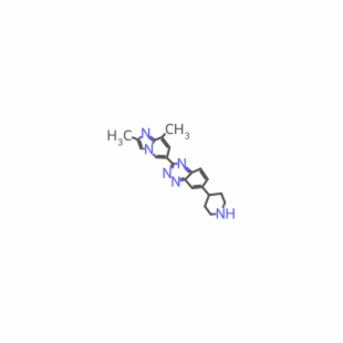 Cc1cn2cc(-c3nnc4cc(C5CCNCC5)ccc4n3)cc(C)c2n1